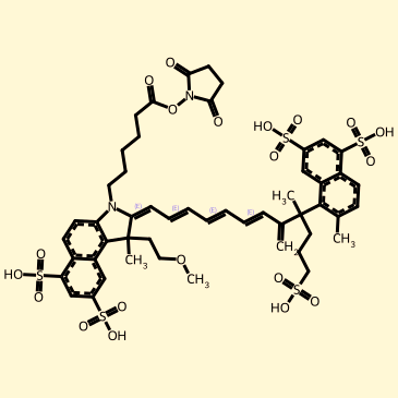 C=C(/C=C/C=C/C=C/C=C1/N(CCCCCC(=O)ON2C(=O)CCC2=O)c2ccc3c(S(=O)(=O)O)cc(S(=O)(=O)O)cc3c2C1(C)CCOC)C(C)(CCCS(=O)(=O)O)c1c(C)ccc2c(S(=O)(=O)O)cc(S(=O)(=O)O)cc12